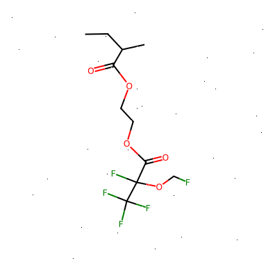 CCC(C)C(=O)OCCOC(=O)C(F)(OCF)C(F)(F)F